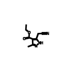 CCOC(=O)c1c(C)n[nH]c1CC#N